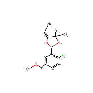 C/C=C1/OB(c2cc(COC)ccc2Cl)OC1(C)C